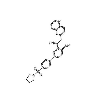 N=C(Cc1ccc2ncccc2c1)n1nc(-c2ccc(S(=O)(=O)N3CCCC3)cc2)ccc1=N